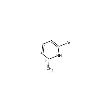 C[C@@H]1C=CC=C(Br)N1